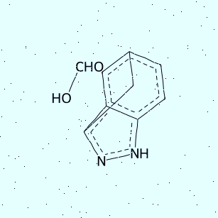 O=CO.c1cc2[nH]nc3c2cc1C3